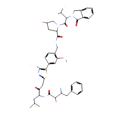 COc1cc(-c2sc(CC(=O)C(CC(C)C)NC(=O)C(O)C(N)Cc3ccccc3)nc2C)ccc1CNC(=O)C1CC(O)CN1C(=O)C(C(C)C)N1Cc2ccccc2C1=O